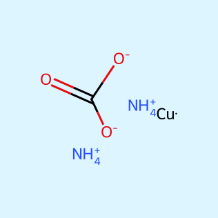 O=C([O-])[O-].[Cu].[NH4+].[NH4+]